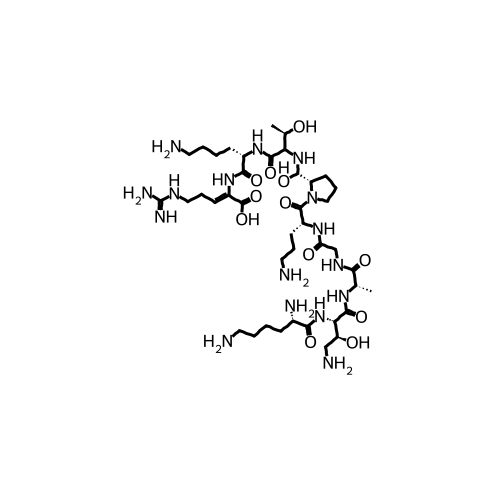 C[C@H](NC(=O)[C@@H](NC(=O)[C@@H](N)CCCCN)[C@@H](O)CN)C(=O)NCC(=O)N[C@H](CCCN)C(=O)N1CCC[C@H]1C(O)NC(C(=O)N[C@@H](CCCCN)C(=O)N/C(=C\CCNC(=N)N)C(=O)O)[C@@H](C)O